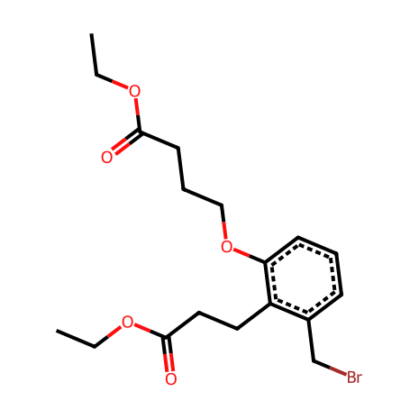 CCOC(=O)CCCOc1cccc(CBr)c1CCC(=O)OCC